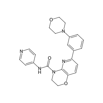 O=C(Nc1ccncc1)N1CCOc2ccc(-c3cccc(N4CCOCC4)c3)nc21